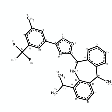 Cc1cc(-c2noc(C3Nc4c(C(C)C)cccc4C(C)c4ccccc43)n2)cc(C(F)(F)F)c1